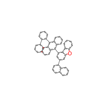 c1ccc(-c2ccccc2-c2c3ccccc3c(-c3cc(-c4cccc5ccccc45)cc4oc5ccccc5c34)c3ccccc23)cc1